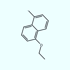 [CH2]c1cccc2c(OCC)cccc12